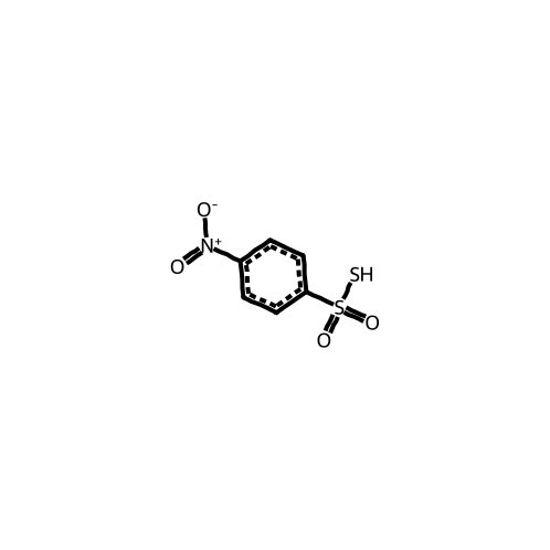 O=[N+]([O-])c1ccc(S(=O)(=O)S)cc1